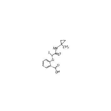 CC1(NC(=O)C(F)Oc2ccccc2C(=O)O)CC1